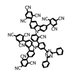 N#Cc1cc(C#N)c(-c2ccc3c(c2)c2cc(-c4c(C#N)cc(C#N)cc4C#N)ccc2n3-c2cc(-c3nc(-c4ccccc4)nc(-c4ccccc4)n3)ccc2-c2cccc(-n3c4ccc(-c5c(C#N)cc(C#N)cc5C#N)cc4c4cc(-c5c(C#N)cc(C#N)cc5C#N)ccc43)c2C#N)c(C#N)c1